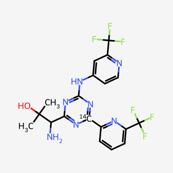 CC(C)(O)C(N)c1nc(Nc2ccnc(C(F)(F)F)c2)n[14c](-c2cccc(C(F)(F)F)n2)n1